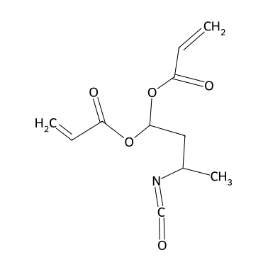 C=CC(=O)OC(CC(C)N=C=O)OC(=O)C=C